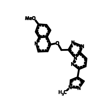 COc1ccc2c(OCc3nnc4ccc(-c5cnn(C)c5)nn34)ccnc2c1